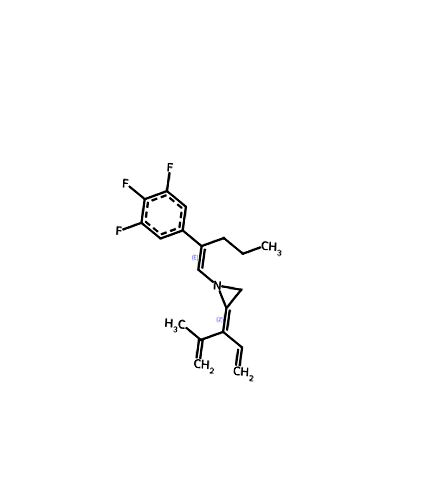 C=C/C(C(=C)C)=C1\CN1/C=C(\CCC)c1cc(F)c(F)c(F)c1